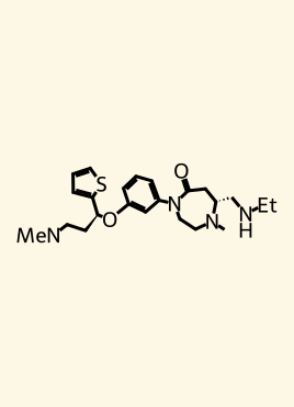 CCNC[C@H]1CC(=O)N(c2cccc(O[C@@H](CCNC)c3cccs3)c2)CCN1C